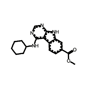 COC(=O)c1ccc2c(c1)[nH]c1ncnc(NC3CCCCC3)c12